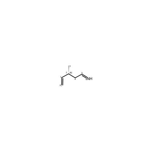 [CH]=C[C@H](C)CC=N